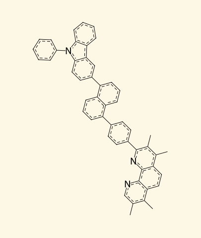 Cc1cnc2c(ccc3c(C)c(C)c(-c4ccc(-c5cccc6c(-c7ccc8c(c7)c7ccccc7n8-c7ccccc7)cccc56)cc4)nc32)c1C